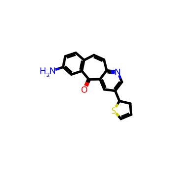 Nc1ccc2ccc3ncc(C4CC=CS4)cc3c(=O)c2c1